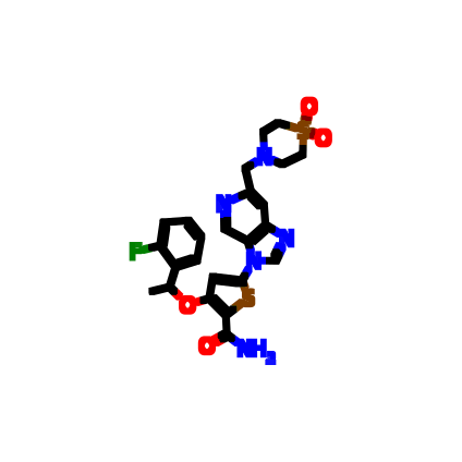 CC(Oc1cc(-n2cnc3cc(CN4CCS(=O)(=O)CC4)ncc32)sc1C(N)=O)c1ccccc1F